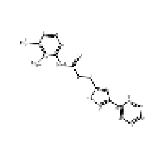 Cc1cccc(NC(=O)CCc2nc(-c3ccccn3)ns2)c1C